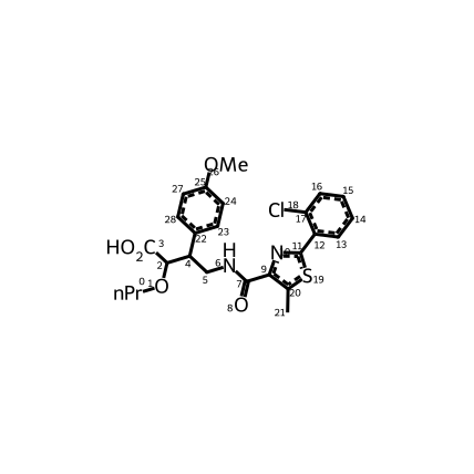 CCCOC(C(=O)O)C(CNC(=O)c1nc(-c2ccccc2Cl)sc1C)c1ccc(OC)cc1